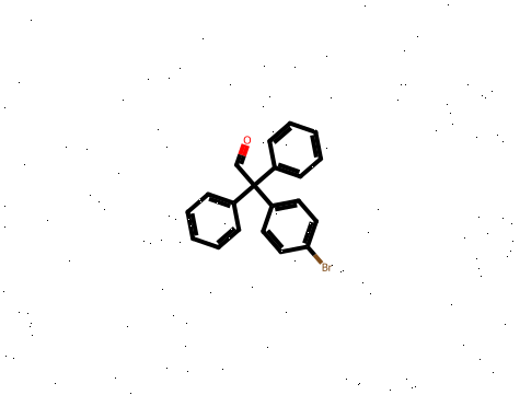 O=CC(c1ccccc1)(c1ccccc1)c1ccc(Br)cc1